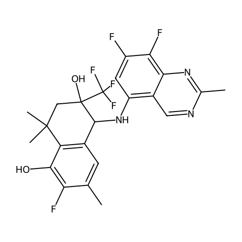 Cc1ncc2c(NC3c4cc(C)c(F)c(O)c4C(C)(C)CC3(O)C(F)(F)F)cc(F)c(F)c2n1